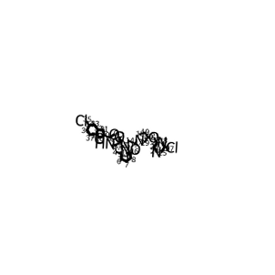 O=C(N[C@@H](Cc1ccccn1)C(=O)NCC(=O)N1CC[C@@H](Oc2cncc(Cl)n2)C1)c1cc2cc(Cl)ccc2o1